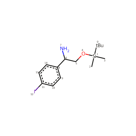 CC(C)(C)[Si](C)(C)OCC(N)c1ccc(I)cc1